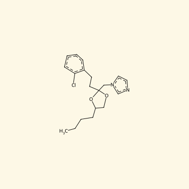 CCCCC1COC(CCc2ccccc2Cl)(Cn2ccnc2)O1